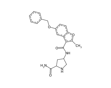 Cc1oc2ccc(OCc3ccccc3)cc2c1C(=O)NC1CNC(C(N)=O)C1